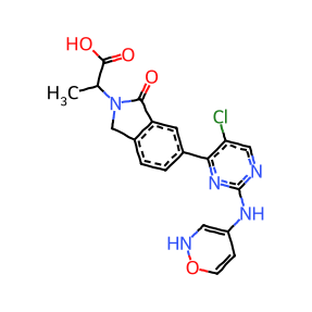 CC(C(=O)O)N1Cc2ccc(-c3nc(NC4=CNOC=C4)ncc3Cl)cc2C1=O